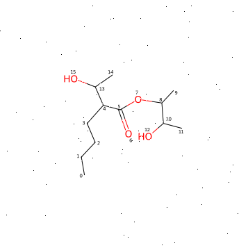 CCCCC(C(=O)OC(C)C(C)O)C(C)O